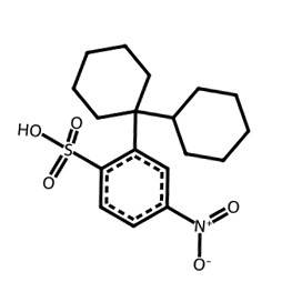 O=[N+]([O-])c1ccc(S(=O)(=O)O)c(C2(C3CCCCC3)CCCCC2)c1